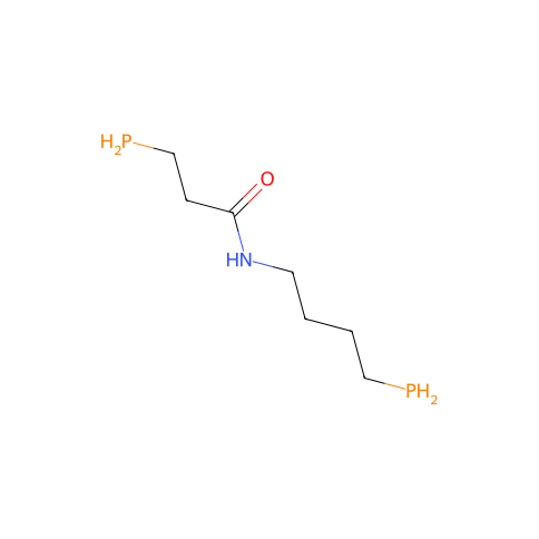 O=C(CCP)NCCCCP